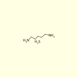 NCCCCCN.S